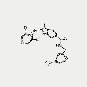 Cn1c(Nc2c(Cl)cccc2Cl)nc2cc(C(=O)NCc3cc(C(F)(F)F)ccn3)ccc21